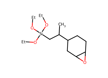 CCO[Si](CC(C)C1CCC2OC2C1)(OCC)OCC